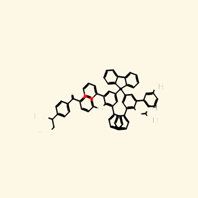 CCC(C)c1ccc(C(=O)c2ccc(Oc3c(-c4ccccc4)cc(C4(c5cc(-c6ccccc6)c(OC(C)C)c(-c6cccc(C)c6)c5)c5ccccc5-c5ccccc54)cc3-c3ccccc3)cc2)cc1